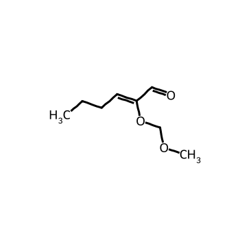 CCCC=C(C=O)OCOC